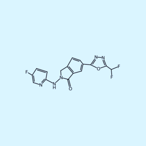 O=C1c2cc(-c3nnc(C(F)F)o3)ccc2CN1Nc1ccc(F)cn1